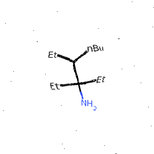 CCCCC(CC)C(N)(CC)CC